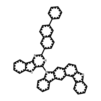 c1ccc(-c2ccc3cc(-c4nc(-n5c6ccccc6c6cc7c(ccc8sc9ccccc9c87)cc65)c5sc6ccccc6c5n4)ccc3c2)cc1